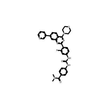 CN(C)C(=O)c1ccc(NC(=O)Nc2ccc(-c3nc(N4CCOCC4)c4ccc(-c5cccnc5)cc4n3)c(F)c2)cc1